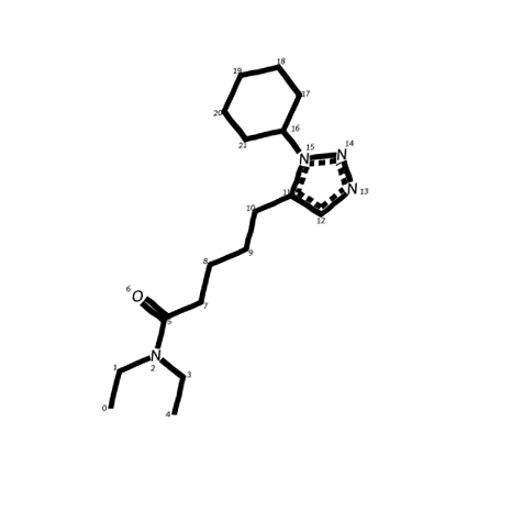 CCN(CC)C(=O)CCCCc1cnnn1C1CCCCC1